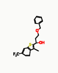 Cc1c(C(O)CCOCc2ccccc2)sc2cc(C(F)(F)F)ccc12